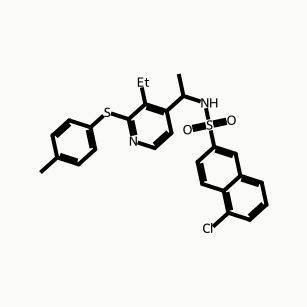 CCc1c(C(C)NS(=O)(=O)c2ccc3c(Cl)cccc3c2)ccnc1Sc1ccc(C)cc1